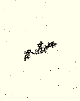 CN(CCCC#Cc1cccc2c1CN(C1CCC(=O)NC1=O)C2=O)C(=O)CCN(C(=O)[C@@H]1CCCN1C(=O)[C@@H](NC(=O)c1cc2cc(C(F)(F)P(=O)(O)O)ccc2s1)C(C)(C)C)c1ccc2occc2c1